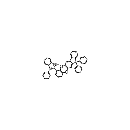 c1ccc(N2c3ccccc3NC2c2cccc3c2Oc2cc4c(cc2O3)C(c2ccccc2)(c2ccccc2)c2ccccc2-4)cc1